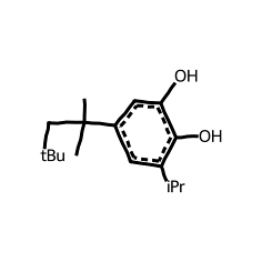 CC(C)c1cc(C(C)(C)CC(C)(C)C)cc(O)c1O